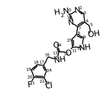 Nc1ncc(CO)c(-c2c[nH]c(OC(=O)NCc3ccc(F)c(Cl)c3)c2)n1